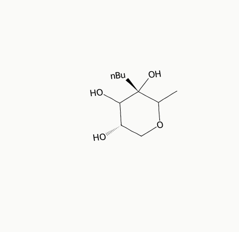 CCCC[C@@]1(O)C(C)OC[C@H](O)C1O